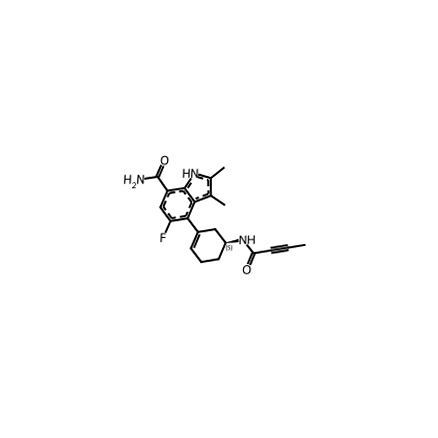 CC#CC(=O)N[C@H]1CCC=C(c2c(F)cc(C(N)=O)c3[nH]c(C)c(C)c23)C1